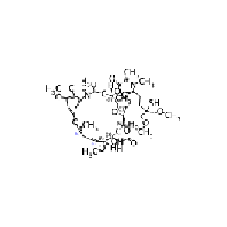 COCC(S)(CCC(=O)N(C)[C@@H](C)C(=O)O[C@H]1CC(=O)N(C)c2cc(cc(OC)c2Cl)C/C(C)=C/C=C/[C@@H](OC)[C@@]2(O)C[C@H](OC(=O)N2)C2(C)C[C@@]1(C)O2)COC